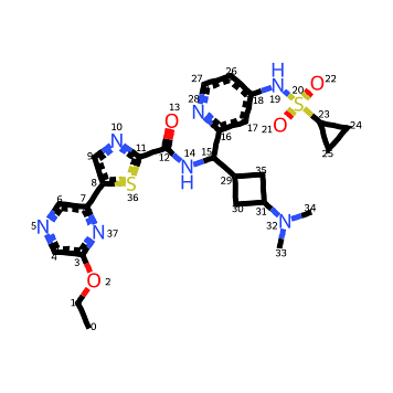 CCOc1cncc(-c2cnc(C(=O)NC(c3cc(NS(=O)(=O)C4CC4)ccn3)C3CC(N(C)C)C3)s2)n1